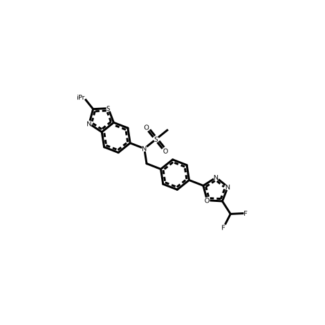 CC(C)c1nc2ccc(N(Cc3ccc(-c4nnc(C(F)F)o4)cc3)S(C)(=O)=O)cc2s1